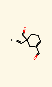 C=CC1(C=O)CCC=C(C=O)C1